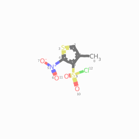 Cc1csc([N+](=O)[O-])c1S(=O)(=O)Cl